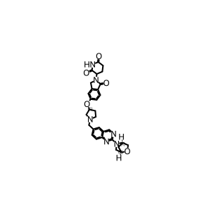 O=C1CCC(N2Cc3cc(O[C@H]4CCN(Cc5ccc6nc(N7C[C@H]8C[C@@H]7CO8)ncc6c5)C4)ccc3C2=O)C(=O)N1